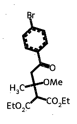 CCOC(=O)C(C(=O)OCC)C(C)(CC(=O)c1ccc(Br)cc1)OC